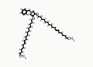 CCCCCCC=CCCCCCCCCCCO[C@@H]1CN(Cc2ccccc2)C[C@H]1OCCCCCCCCCCC=CCCCCCC